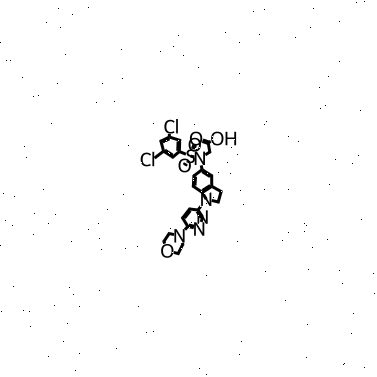 O=C(O)CN(c1ccc2c(c1)CCN2c1ccc(N2CCOCC2)nn1)S(=O)(=O)c1cc(Cl)cc(Cl)c1